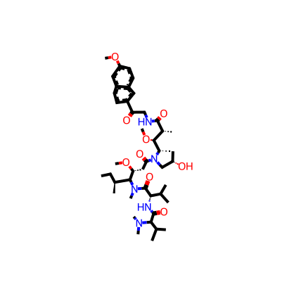 CC[C@H](C)C([C@@H](CC(=O)N1C[C@@H](O)C[C@H]1[C@H](OC)[C@@H](C)C(=O)NCC(=O)c1ccc2cc(OC)ccc2c1)OC)N(C)C(=O)[C@@H](NC(=O)C(C(C)C)N(C)C)C(C)C